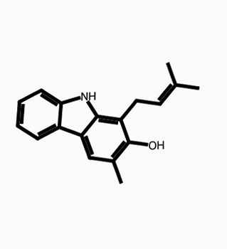 CC(C)=CCc1c(O)c(C)cc2c1[nH]c1ccccc12